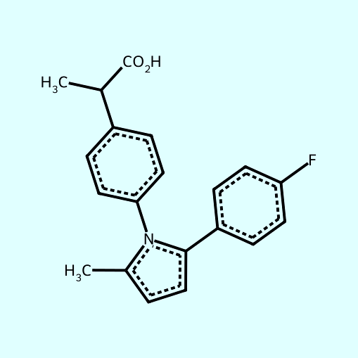 Cc1ccc(-c2ccc(F)cc2)n1-c1ccc(C(C)C(=O)O)cc1